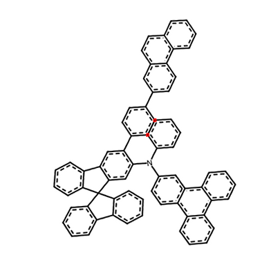 c1ccc(N(c2ccc3c4ccccc4c4ccccc4c3c2)c2cc3c(cc2-c2ccc(-c4ccc5c(ccc6ccccc65)c4)cc2)-c2ccccc2C32c3ccccc3-c3ccccc32)cc1